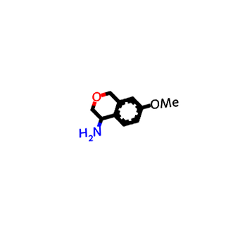 COc1ccc2c(c1)COCC2N